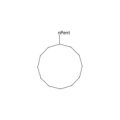 CCCCCC1CCCCCCCCCCC1